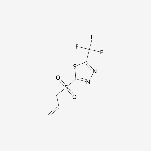 C=CCS(=O)(=O)c1nnc(C(F)(F)F)s1